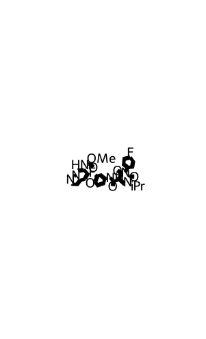 COC(=O)Nc1cc(Oc2ccc(NC(=O)c3cn(C(C)C)c(=O)n(-c4ccc(F)cc4)c3=O)cc2F)c2ccnn2c1